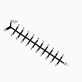 O=C(C(F)(F)C(F)(F)C(F)(F)C(F)(F)C(F)(F)C(F)(F)C(F)(F)C(F)(F)C(F)(F)C(F)(F)C(F)(F)F)S(=O)(=O)O